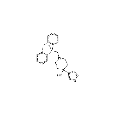 OC1(c2ccoc2)CCN(CC23CC(c4ccccc42)c2ccccc23)CC1